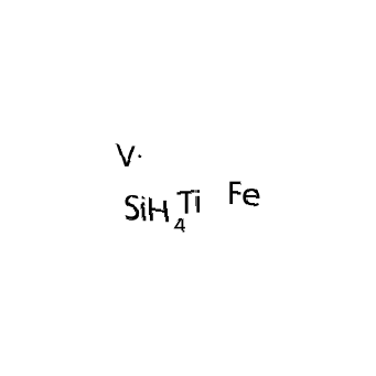 [Fe].[SiH4].[Ti].[V]